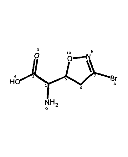 NC(C(=O)O)C1CC(Br)=NO1